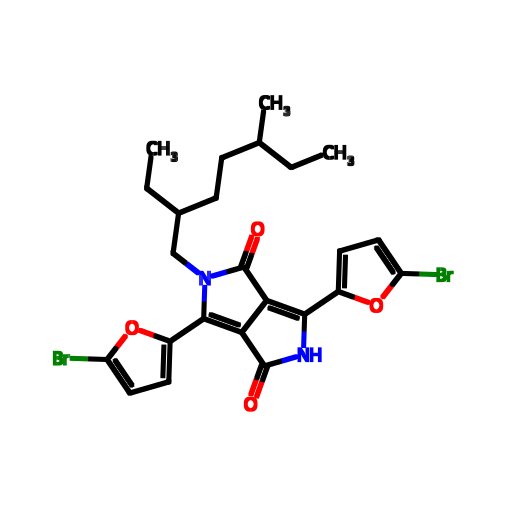 CCC(C)CCC(CC)CN1C(=O)C2=C(c3ccc(Br)o3)NC(=O)C2=C1c1ccc(Br)o1